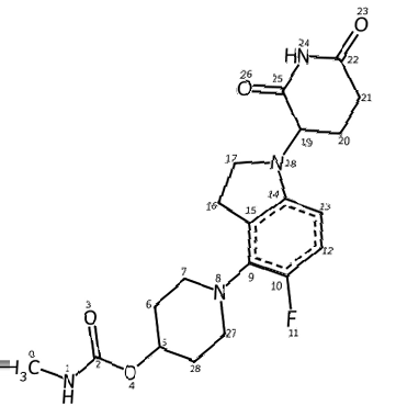 CNC(=O)OC1CCN(c2c(F)ccc3c2CCN3C2CCC(=O)NC2=O)CC1